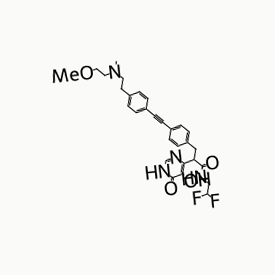 COCCN(C)CCc1ccc(C#Cc2ccc(CC(C(=O)NCC(F)F)c3nc[nH]c(=O)c3O)cc2)cc1